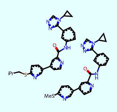 CC(C)CSc1ccc(-c2ccnc(C(=O)Nc3cccc(-c4nncn4C4CC4)c3)c2)cn1.CSc1ccc(-c2ccnc(C(=O)Nc3cccc(-c4nncn4C4CC4)c3)c2)cn1